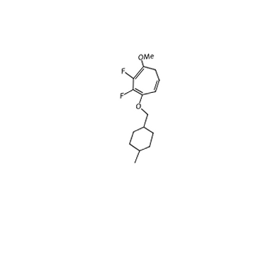 COC1=C(F)C(F)=C(OCC2CCC(C)CC2)C=CC1